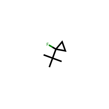 CC(C)(C)C1(F)CC1